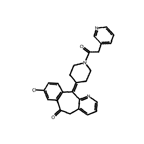 O=C1Cc2cccnc2C(=C2CCN(C(=O)Cc3cccnc3)CC2)c2ccc(Cl)cc21